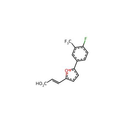 O=C(O)C=Cc1ccc(-c2ccc(F)c(C(F)(F)F)c2)o1